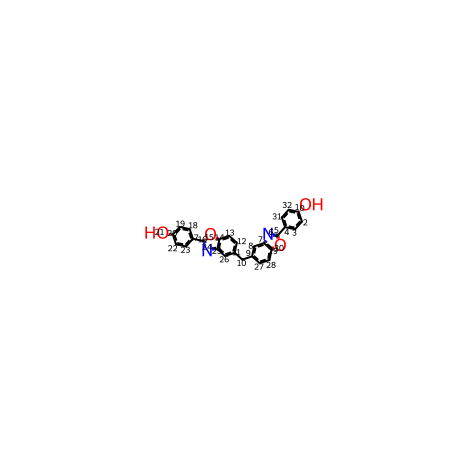 Oc1ccc(-c2nc3cc(Cc4ccc5oc(-c6ccc(O)cc6)nc5c4)ccc3o2)cc1